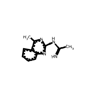 CC(=N)Nc1nc(C)c2ccccc2n1